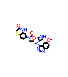 COc1ccc2ncnc(N(C[C@@H]3CN(c4ccc5c(c4)NC(=O)CS5)C(=O)O3)C3CNC3)c2c1